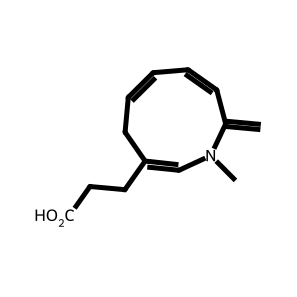 C=C1/C=C\C=C/C/C(CCC(=O)O)=C\N1C